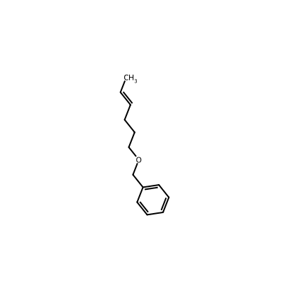 CC=CCCCOCc1ccccc1